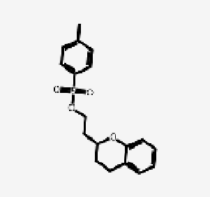 Cc1ccc(S(=O)(=O)OCCC2CCc3ccccc3O2)cc1